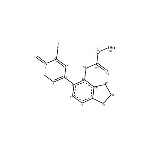 C=N/C(F)=C\C(=C/C)c1ccc2c(c1CC(=O)OC(C)(C)C)CCC2